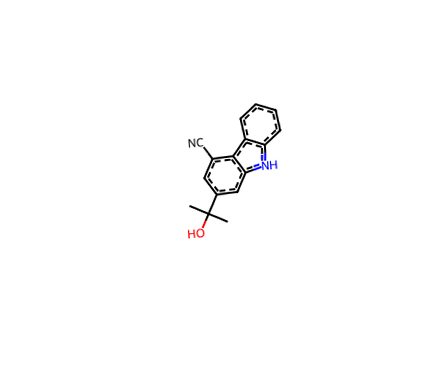 CC(C)(O)c1cc(C#N)c2c(c1)[nH]c1ccccc12